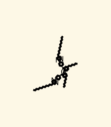 CCCCCCCCCCCCc1cnc([C@H]2CC[C@H](Cc3cc(CCCCCC)ccc3Oc3ccc(CCCCCC)cc3C[C@H]3CC[C@H](c4ncc(CCCCCCCCCCCC)cn4)CC3)CC2)nc1